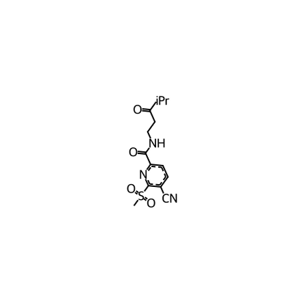 CC(C)C(=O)CCNC(=O)c1ccc(C#N)c(S(C)(=O)=O)n1